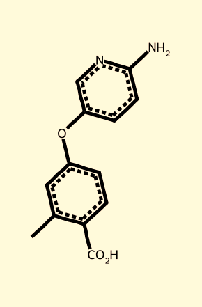 Cc1cc(Oc2ccc(N)nc2)ccc1C(=O)O